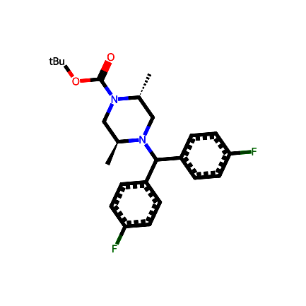 C[C@@H]1CN(C(c2ccc(F)cc2)c2ccc(F)cc2)[C@@H](C)CN1C(=O)OC(C)(C)C